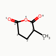 CC1[C]CC(=O)OC1=O